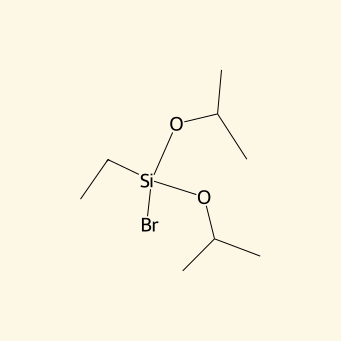 CC[Si](Br)(OC(C)C)OC(C)C